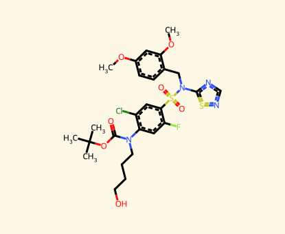 COc1ccc(CN(c2ncns2)S(=O)(=O)c2cc(Cl)c(N(CCCCO)C(=O)OC(C)(C)C)cc2F)c(OC)c1